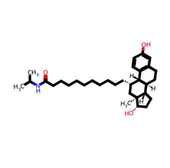 CC(C)NC(=O)CCCCCCCCCC[C@H]1C[C@]2(C)[C@@H](O)CC[C@H]2[C@@H]2CCc3cc(O)ccc3[C@@H]12